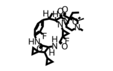 CCC(C=O)(C[N+]1(C)C2CC2(F)C(=O)N[C@@H](C(C2CC2)C2CC2)C(=O)Nc2ccc(cc2F)[C@H](C)[C@@H]1C(=O)N1CCN(C)[C@H](C)C1)OC